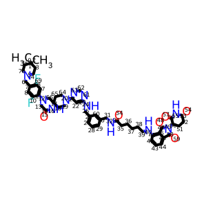 CC1(C)CCN(Cc2cc(F)c(N3CC(=O)NC4(CCN(c5cc(NCc6cccc(CNC(=O)CCCCCNc7cccc8c7C(=O)N(C7CCC(=O)NC7=O)C8=O)c6)ncn5)CC4)C3)cc2F)CC1